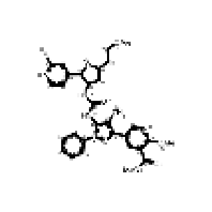 CNC(=O)c1cc(-c2nn(-c3ccccc3)c(NC(=O)NC3CC(CCOC)OC3c3ccnc(F)c3)c2C)cnc1OC